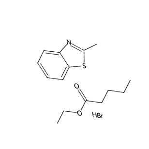 Br.CCCCC(=O)OCC.Cc1nc2ccccc2s1